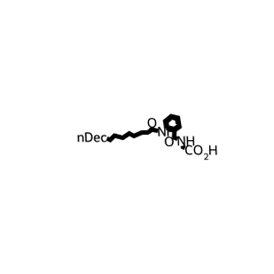 CCCCCCCCCCCCCCCCCC(=O)Nc1ccccc1C(=O)NCC(=O)O